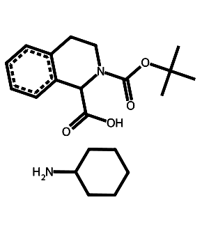 CC(C)(C)OC(=O)N1CCc2ccccc2C1C(=O)O.NC1CCCCC1